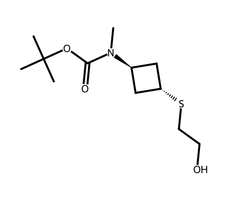 CN(C(=O)OC(C)(C)C)[C@H]1C[C@H](SCCO)C1